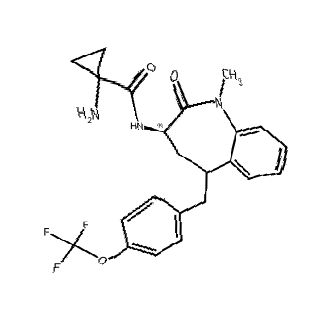 CN1C(=O)[C@H](NC(=O)C2(N)CC2)CC(Cc2ccc(OC(F)(F)F)cc2)c2ccccc21